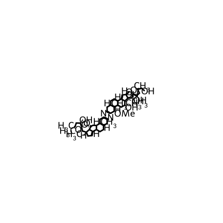 CO[C@H]1c2nc3c(nc2C[C@@H]2CC[C@H]4C5=C[C@@H]6O[C@]7(O[C@](C)(CO)C[C@H]7O)[C@@H](C)[C@]6(O)[C@@]5(C)[C@H](O)C[C@@H]4[C@]21C)C[C@@]1(C)[C@@H](CC[C@H]2C4=CC[C@@H]5[C@@H](C)[C@@]6(OC[C@]45C(=O)C[C@@H]21)OC(C)(C)C[C@H]6O)C3